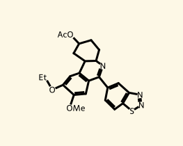 CCOc1cc2c(cc1OC)C(c1ccc3snnc3c1)=NC1CCC(OC(C)=O)CC21